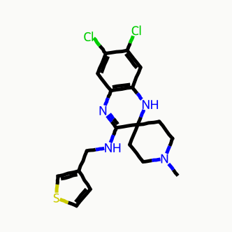 CN1CCC2(CC1)Nc1cc(Cl)c(Cl)cc1N=C2NCc1ccsc1